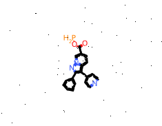 O=C(OP)c1ccc2c(-c3ccncc3)c(-c3ccccc3)nn2c1